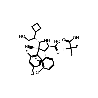 N#C[C@]1(c2ccc(Cl)cc2F)[C@H](C(CO)C2CCC2)N[C@@H](C(=O)O)[C@@H]1c1cccc(Cl)c1F.O=C(O)C(F)(F)F